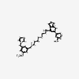 Oc1cc(-c2cc(NCCOCCCCNCc3cc(Cn4ccnc4)cc(OC(F)(F)F)c3)c3cn[nH]c3c2)cnn1